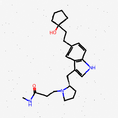 CNC(=O)CCN1CCC[C@@H]1Cc1c[nH]c2ccc(CCC3(O)CCCC3)cc12